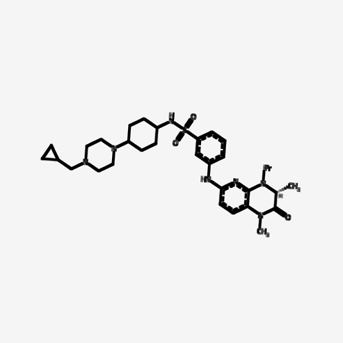 CC(C)N1c2nc(Nc3cccc(S(=O)(=O)NC4CCC(N5CCN(CC6CC6)CC5)CC4)c3)ccc2N(C)C(=O)[C@H]1C